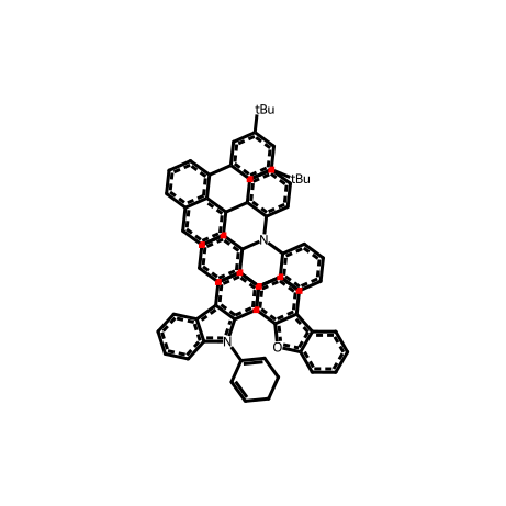 CC(C)(C)c1cc(-c2cccc3cccc(-c4ccccc4N(c4ccccc4-c4ccc5c(c4)oc4ccccc45)c4ccccc4-c4ccc5c6ccccc6n(C6=CCCC=C6)c5c4)c23)cc(C(C)(C)C)c1